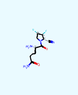 N#C[C@H]1[C@H](F)[C@H](F)CN1C(=O)[C@@H](N)CCC(N)=O